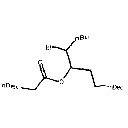 CCCCCCCCCCCCC(OC(=O)CCCCCCCCCCC)C(CC)CCCC